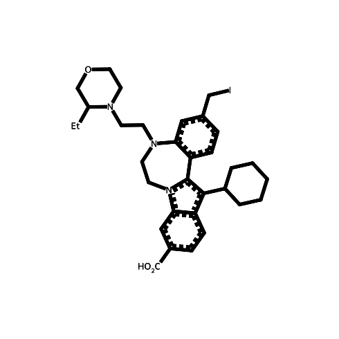 CCC1COCCN1CCN1CCn2c(c(C3CCCCC3)c3ccc(C(=O)O)cc32)-c2ccc(CI)cc21